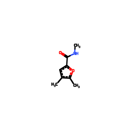 CNC(=O)c1cc(C)c(C)o1